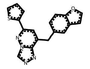 c1csc(-c2cc(Cc3ccc4occc4c3)c3nncn3n2)c1